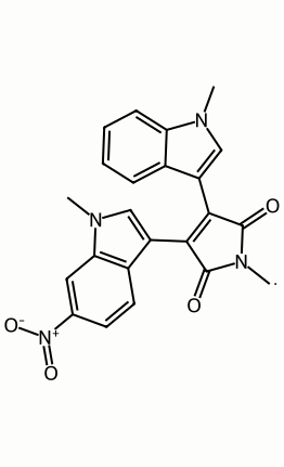 [CH2]N1C(=O)C(c2cn(C)c3ccccc23)=C(c2cn(C)c3cc([N+](=O)[O-])ccc23)C1=O